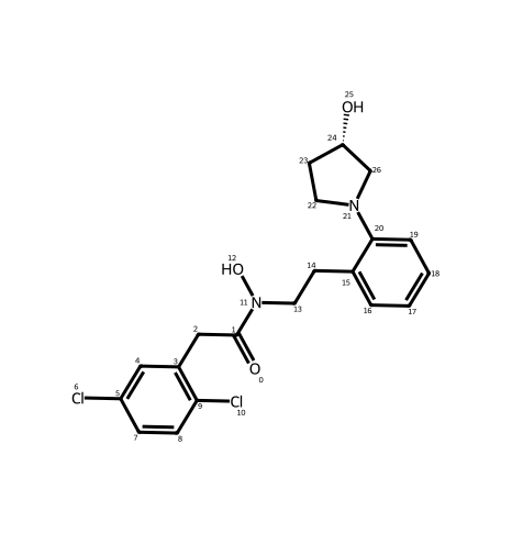 O=C(Cc1cc(Cl)ccc1Cl)N(O)CCc1ccccc1N1CC[C@H](O)C1